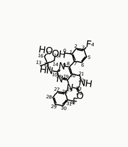 Cc1cc(F)ccc1-c1nc(NC(C)(CO)CO)nc2c1CNC(=O)N2c1ccccc1F